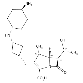 C[C@@H](O)[C@H]1C(=O)N2C(C(=O)O)=C(S[C@H]3C[C@@H](N[C@H]4CC[C@H](N)CC4)C3)[C@H](C)[C@H]12